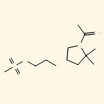 CC(=N)N1C[C@@H](CCCOS(C)(=O)=O)CC1(C)C